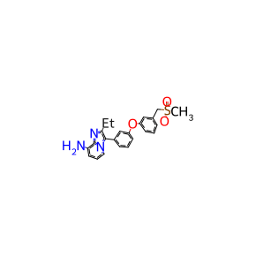 CCc1nc2c(N)cccn2c1-c1cccc(Oc2cccc(CS(C)(=O)=O)c2)c1